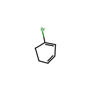 BrC1=CC=CCC1